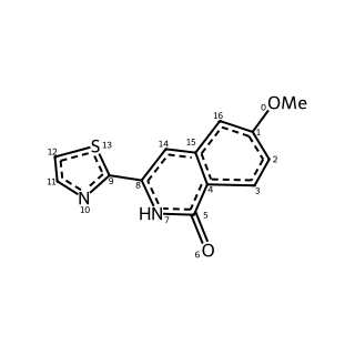 COc1ccc2c(=O)[nH]c(-c3nccs3)cc2c1